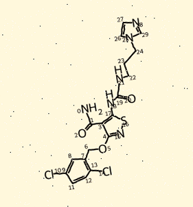 NC(=O)c1c(OCc2cc(Cl)ccc2Cl)nsc1NC(=O)NCCCn1ccnc1